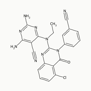 CCN(c1nc(N)nc(N)c1C#N)c1nc2cccc(Cl)c2c(=O)n1-c1cccc(C#N)c1